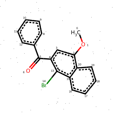 COc1cc(C(=O)c2ccccc2)c(Br)c2ccccc12